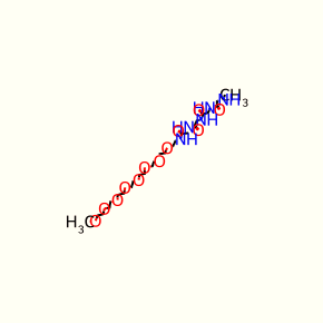 CNCC(=O)NCC(=O)NCC(=O)NCC(=O)NCCOCCOCCOCCOCCOCCOCCOCCOC